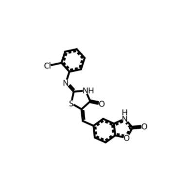 O=C1NC(=Nc2ccccc2Cl)SC1=Cc1ccc2oc(=O)[nH]c2c1